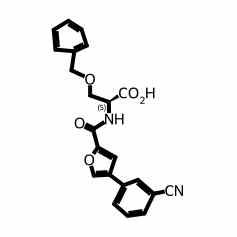 N#Cc1cccc(-c2coc(C(=O)N[C@@H](COCc3ccccc3)C(=O)O)c2)c1